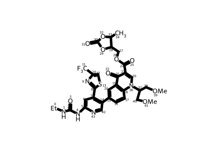 CCNC(=O)Nc1cc(-c2nc(C(F)(F)F)cs2)c(-c2ccc3c(c2)c(=O)c(C(=O)OCC2OC(=O)OC2C)cn3C(COC)COC)cn1